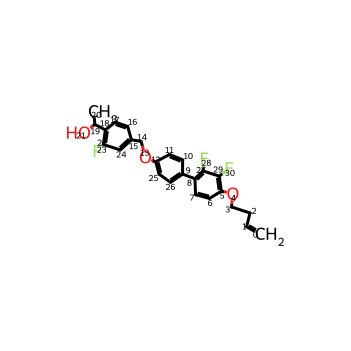 C=CCCOc1ccc(-c2ccc(OCc3ccc(C(C)O)c(F)c3)cc2)c(F)c1F